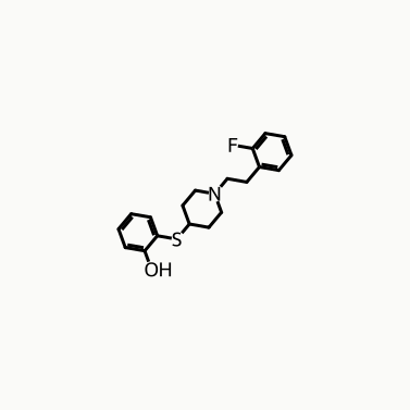 Oc1ccccc1SC1CCN(CCc2ccccc2F)CC1